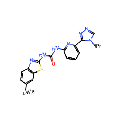 COc1ccc2nc(NC(=O)Nc3cccc(-c4nncn4C(C)C)n3)sc2c1